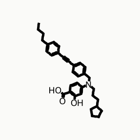 CCCCc1ccc(C#Cc2ccc(CN(CCCC3CCCC3)c3ccc(C(=O)O)c(O)c3)cc2)cc1